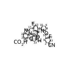 N#Cc1ccc(COc2cccc(-c3cc(F)c(Cc4nc5ccc(C(=O)O)cc5n4CC45CO[C@@H](CCO4)C5)cc3F)n2)c(F)c1